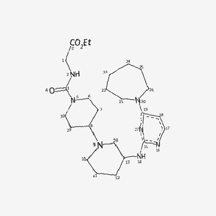 CCOC(=O)CNC(=O)N1CCC(N2CCCC(Nc3nccc(N4CCCCCC4)n3)C2)CC1